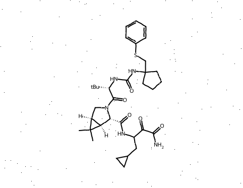 CC(C)(C)[C@H](NC(=O)NC1(CSc2ccccc2)CCCC1)C(=O)N1C[C@H]2[C@@H]([C@H]1C(=O)NC(CC1CC1)C(=O)C(N)=O)C2(C)C